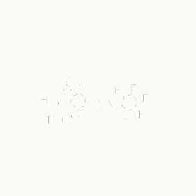 COc1cc(CSC=Cc2c(F)c(F)c(F)c(F)c2F)cc(OC)c1OC